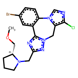 COC[C@H]1CCCN1Cc1nc2n(n1)Cc1c(Cl)ncn1-c1ccc(Br)cc1-2